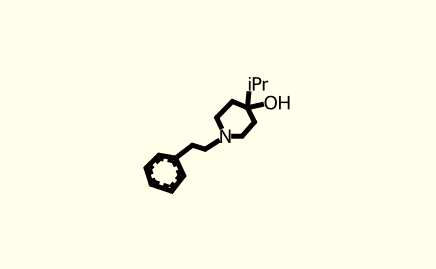 [CH2]C(C)C1(O)CCN(CCc2ccccc2)CC1